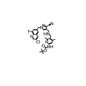 Cc1cc(NC(=O)OC(C)(C)C)nc(C)c1CNCc1cn(Cc2cc(F)c3ncc(Cl)cc3c2)nc1C#N